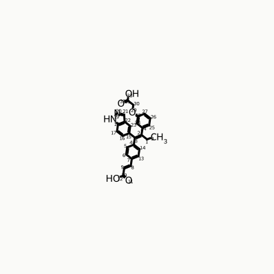 CCC(=C(c1ccc(C=CC(=O)O)cc1)c1ccc2[nH]ncc2c1)c1cccc(OCC(=O)O)c1